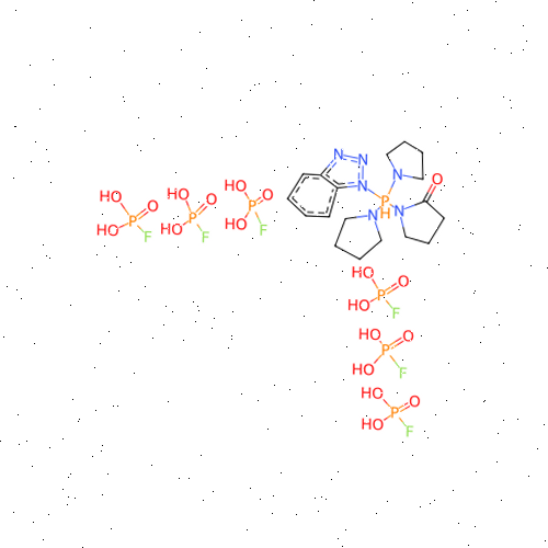 O=C1CCCN1[PH](N1CCCC1)(N1CCCC1)n1nnc2ccccc21.O=P(O)(O)F.O=P(O)(O)F.O=P(O)(O)F.O=P(O)(O)F.O=P(O)(O)F.O=P(O)(O)F